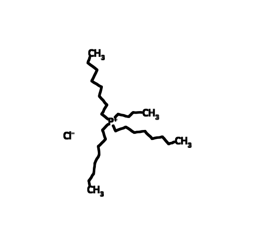 CCCCCCCC[P+](CCCC)(CCCCCCCC)CCCCCCCC.[Cl-]